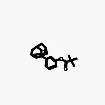 CC(C)(C)C(=O)Oc1cccc(C23[CH]C4CC(CC(C4)C2)C3)c1